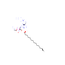 CCCCCCCCC=CCCCCCCCCCCCC(=O)OC[C@@](CC)(Cn1cnc2cnc(N)nc21)OC(=O)[C@@H](N)C(C)C